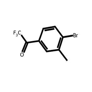 Cc1cc(C(=O)C(F)(F)F)ccc1Br